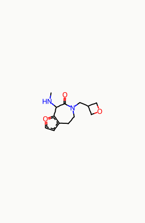 CNC1C(=O)N(CC2COC2)CCc2ccoc21